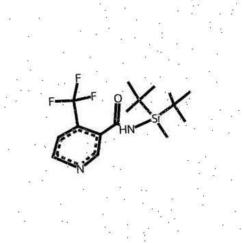 CC(C)(C)[Si](C)(NC(=O)c1cnccc1C(F)(F)F)C(C)(C)C